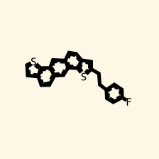 Fc1ccc(CCc2cc3ccc4cc5c(ccc6ccsc65)cc4c3s2)cc1